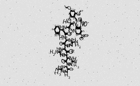 COc1ccc(CN(c2ncc([N+](=O)[O-])cc2[N+](=O)[O-])C(O)C(=O)NC(C(=O)NC(NC(=N)N)C(=O)NC(NC(=N)N)C(=O)NC(NC(=N)N)C(=O)NC(NC(=N)N)C(N)=O)c2ccccc2)c(OC)c1